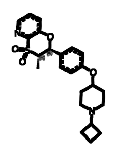 C[C@H]1[C@H](c2ccc(OC3CCN(C4CCC4)CC3)cc2)Oc2cccnc2S1(=O)=O